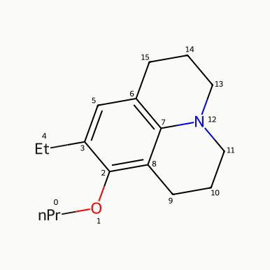 CCCOc1c(CC)cc2c3c1CCCN3CCC2